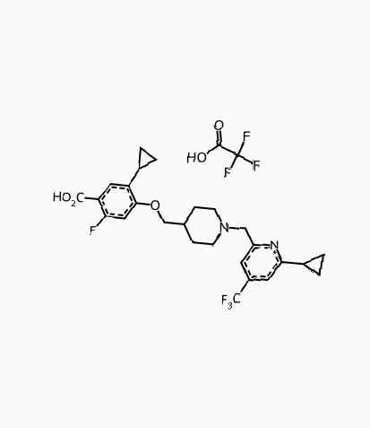 O=C(O)C(F)(F)F.O=C(O)c1cc(C2CC2)c(OCC2CCN(Cc3cc(C(F)(F)F)cc(C4CC4)n3)CC2)cc1F